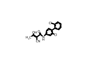 C/C(O)=C(\C#N)C(=O)Nc1ccc(-c2ccccc2Cl)c(Cl)c1